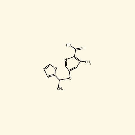 Cc1cc(OC(C)c2ncco2)cnc1C(=O)O